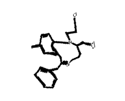 Cc1ccc2c(c1)C(c1ccccc1)=NCC(CCl)N2CCCl